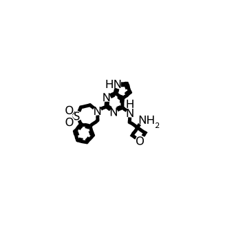 NC1(CNc2nc(N3CCS(=O)(=O)c4ccccc4C3)nc3[nH]ccc23)COC1